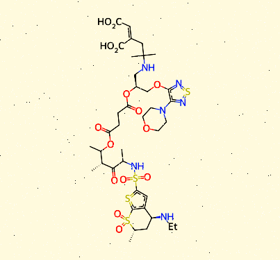 CCN[C@H]1C[C@H](C)S(=O)(=O)c2sc(S(=O)(=O)NC(C)C(=O)[C@H](C)C(C)OC(=O)CCC(=O)O[C@@H](CNC(C)(C)C/C(=C/C(=O)O)C(=O)O)COc3nsnc3N3CCOCC3)cc21